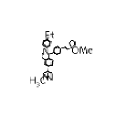 CCc1ccc(N2CCc3cc(-c4cnn(C)c4)ccc3C2c2ccc(/C=C/C(=O)OC)cc2)cc1